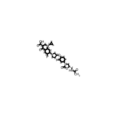 CC(=O)NC[C@H]1CN(c2ccc(OC3CCN(c4cc5c(cc4F)c(=O)c(C(=O)O)cn5C4CC4)C3)c(F)c2)C(=O)O1